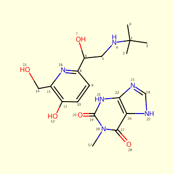 CC(C)(C)NCC(O)c1ccc(O)c(CO)n1.Cn1c(=O)[nH]c2nc[nH]c2c1=O